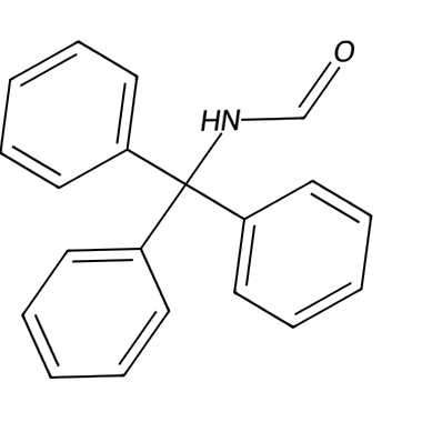 O=CNC(c1ccccc1)(c1ccccc1)c1ccccc1